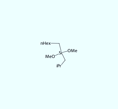 CCCCCCC[Si](CC(C)C)(OC)OC